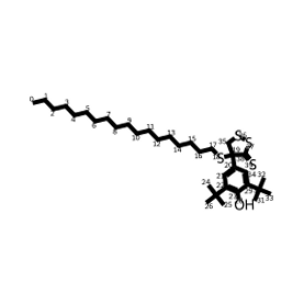 CCCCCCCCCCCCCCCCCCSC1(c2cc(C(C)(C)C)c(O)c(C(C)(C)C)c2)CSSC1=S